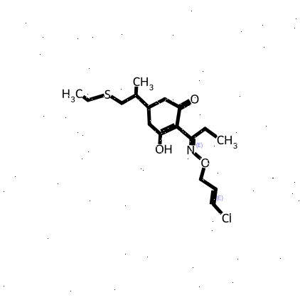 CCSCC(C)C1CC(=O)C(/C(CC)=N/OC/C=C/Cl)=C(O)C1